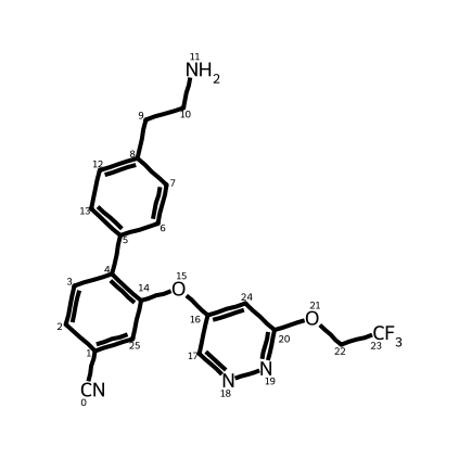 N#Cc1ccc(-c2ccc(CCN)cc2)c(Oc2cnnc(OCC(F)(F)F)c2)c1